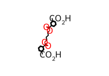 O=C(O)c1cccc(C(=O)OCCCCOC(=O)c2cccc(C(=O)O)c2)c1